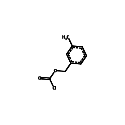 Cc1cccc(COC(=O)Cl)c1